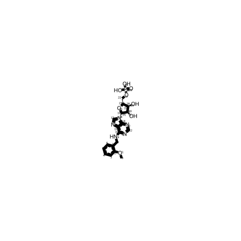 COc1ccccc1CNc1ncnc2c1ncn2[C@@H]1O[C@H](COP(=O)(O)O)[C@@H](O)[C@H]1O